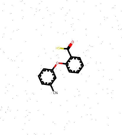 N#Cc1cccc(Oc2ccccc2C(=O)S)c1